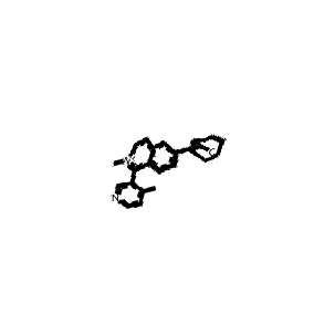 Cc1ccncc1-c1c2ccc(C3CC4CCC3CC4)cc2cc[n+]1C